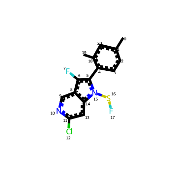 Cc1ccc(-c2c(F)c3cnc(Cl)cc3n2SF)c(C)c1